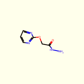 NNC(=O)COc1ncccn1